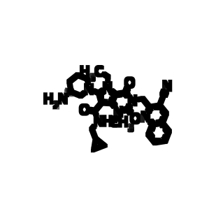 CCn1c(N2CCC[C@@H](N)C2)c(C(=O)NCC2CC2)c2c1c(=O)n(Cc1nc3ccccc3cc1C#N)c(=O)n2C